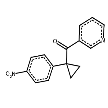 O=C(c1cccnc1)C1(c2ccc([N+](=O)[O-])cc2)CC1